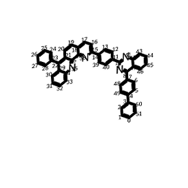 c1ccc(-c2ccc(-c3nc(-c4ccc(-c5ccc6ccc7c(-c8ccccc8)c8ccccc8nc7c6n5)cc4)nc4ccccc34)cc2)cc1